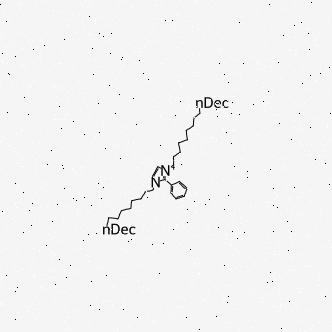 CCCCCCCCCCCCCCCCCCC[n+]1ccn(CCCCCCCCCCCCCCCCCC)c1-c1ccccc1